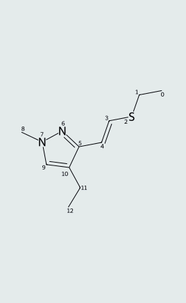 CCSC=Cc1nn(C)cc1CC